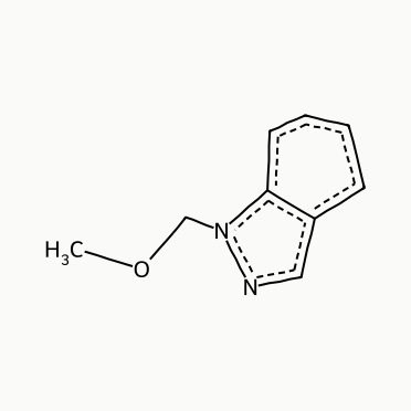 COCn1ncc2ccccc21